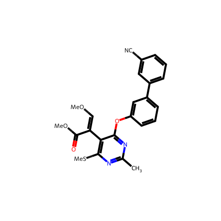 COC=C(C(=O)OC)c1c(Oc2cccc(-c3cccc(C#N)c3)c2)nc(C)nc1SC